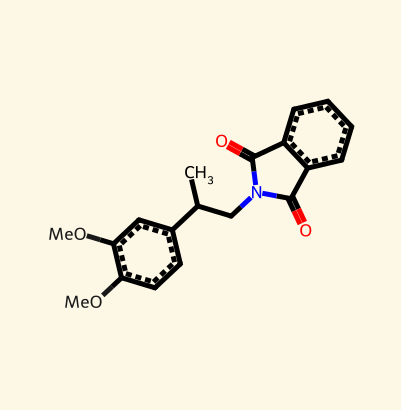 COc1ccc(C(C)CN2C(=O)c3ccccc3C2=O)cc1OC